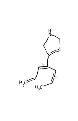 C=C/C=C(\C=C/C)C1=CCNC1